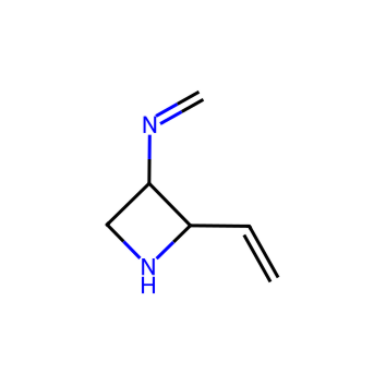 C=CC1NCC1N=C